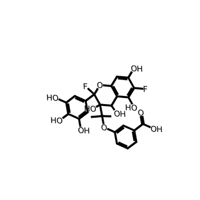 CC(C)(Oc1cccc(C(=O)O)c1)C1(O)C(O)c2c(cc(O)c(F)c2O)OC1(F)c1cc(O)c(O)c(O)c1